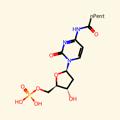 CCCCCC(=O)Nc1ccn([C@H]2C[C@H](O)[C@@H](COP(=O)(O)O)O2)c(=O)n1